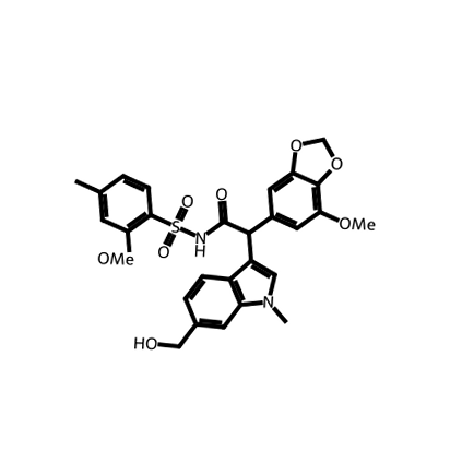 COc1cc(C)ccc1S(=O)(=O)NC(=O)C(c1cc(OC)c2c(c1)OCO2)c1cn(C)c2cc(CO)ccc12